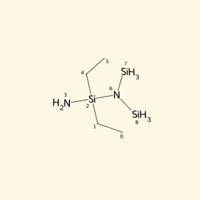 CC[Si](N)(CC)N([SiH3])[SiH3]